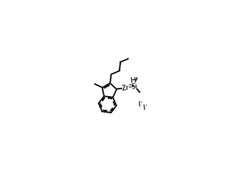 CCCCC1=C(C)c2ccccc2[CH]1[Zr+2][SiH](C)C.[I-].[I-]